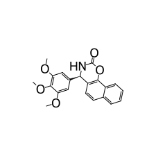 COc1cc([C@H]2NC(=O)Oc3c2ccc2ccccc32)cc(OC)c1OC